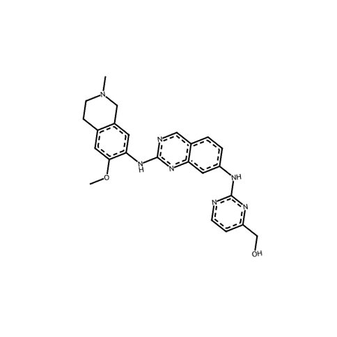 COc1cc2c(cc1Nc1ncc3ccc(Nc4nccc(CO)n4)cc3n1)CN(C)CC2